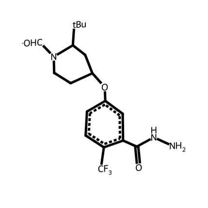 CC(C)(C)C1CC(Oc2ccc(C(F)(F)F)c(C(=O)NN)c2)CCN1[C]=O